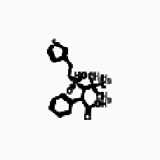 CC(C)(C)C(C(C(=O)O)c1ccccc1)P(=O)(O)CCc1ccsc1